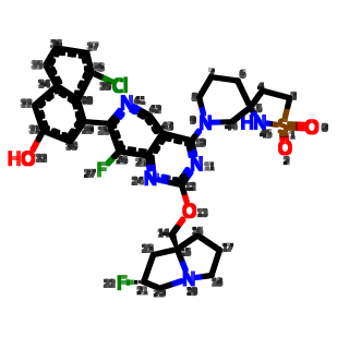 O=S1(=O)CCC2(CCCN(c3nc(OC[C@@]45CCCN4C[C@H](F)C5)nc4c(F)c(-c5cc(O)cc6cccc(Cl)c56)ncc34)C2)N1